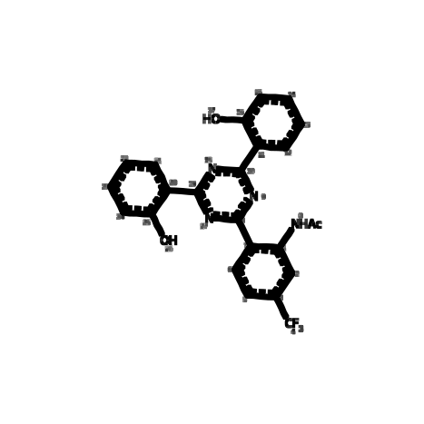 CC(=O)Nc1cc(C(F)(F)F)ccc1-c1nc(-c2ccccc2O)nc(-c2ccccc2O)n1